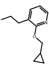 CCCc1cccnc1OCC1CC1